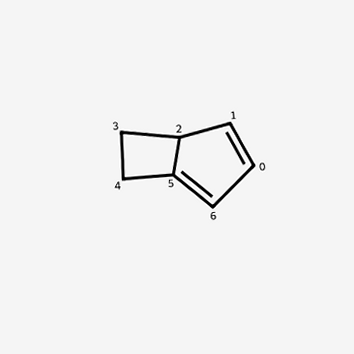 C1=CC2CCC2=C1